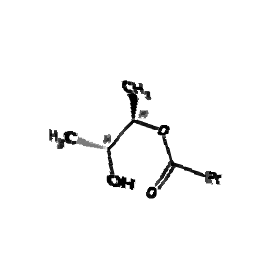 CC(C)C(=O)O[C@H](C)[C@@H](C)O